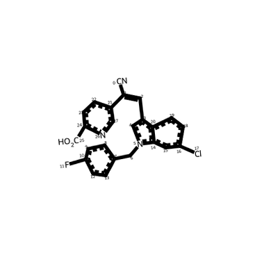 N#CC(=Cc1cn(Cc2ccc(F)cc2)c2cc(Cl)ccc12)c1ccc(C(=O)O)nc1